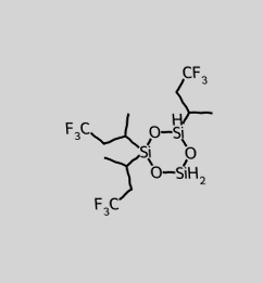 CC(CC(F)(F)F)[SiH]1O[SiH2]O[Si](C(C)CC(F)(F)F)(C(C)CC(F)(F)F)O1